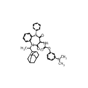 CC(C1C2CC3CC(C2)CC1C3)N1C(=O)C(NC(=O)Oc2cccc(N(C)C)c2)C(=O)N(c2ccccc2)c2ccccc21